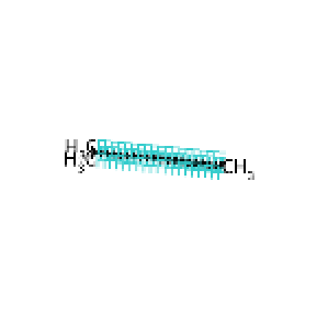 CC(C)C(F)(F)C(F)(F)C(F)(F)C(F)(F)C(F)(F)C(F)(F)C(F)(F)C(F)(F)C(F)(F)C(F)(F)C(F)(F)C(F)(F)C(F)(F)C(F)(F)C(F)(F)C(F)(F)C(F)(F)C(F)(F)C(C)(F)F